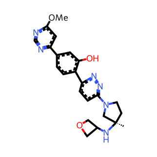 COc1cc(-c2ccc(-c3ccc(N4CC[C@@](C)(NC5COC5)C4)nn3)c(O)c2)ncn1